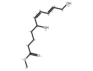 COC(=O)CCCC(O)/C=C\C=C\CO